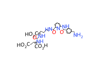 NCc1ccc(C(=O)Nc2cccc(C(=O)NCCCC[C@H](NC(=O)N[C@@H](CCC(=O)O)C(=O)O)C(=O)O)n2)cc1